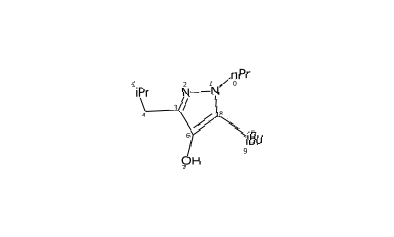 CCCn1nc(CC(C)C)c(O)c1C(C)CC